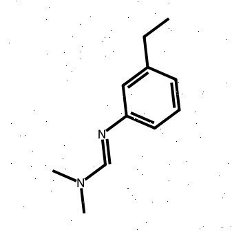 CCc1cccc(/N=C/N(C)C)c1